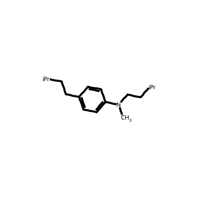 CC(C)CCc1ccc(N(C)CCC(C)C)cc1